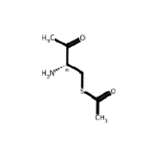 CC(=O)SC[C@H](N)C(C)=O